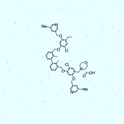 CCc1cc(Cl)c(OCc2cccc(-c3cccc(COc4cc(OCc5cncc(C#N)c5)c(CN5CCOC[C@@H]5C(=O)O)cc4Cl)c3C)c2C)cc1OCc1cncc(C#N)c1